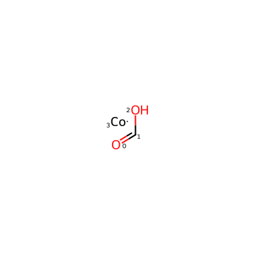 O=CO.[Co]